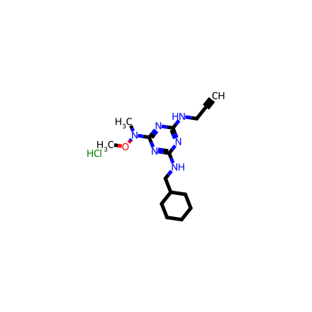 C#CCNc1nc(NCC2CCCCC2)nc(N(C)OC)n1.Cl